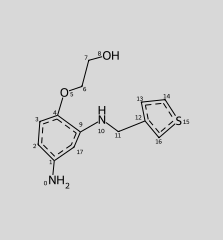 Nc1ccc(OCCO)c(NCc2ccsc2)c1